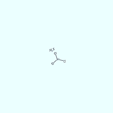 S.[O-][S+](Cl)Cl